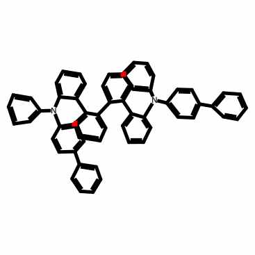 c1ccc(-c2ccc(N(c3ccccc3)c3ccccc3-c3ccccc3-c3ccccc3-c3ccccc3N(c3ccccc3)c3ccc(-c4ccccc4)cc3)cc2)cc1